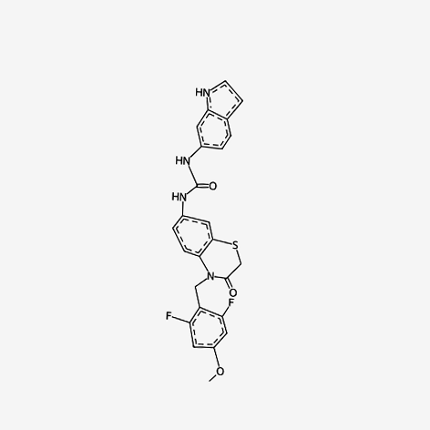 COc1cc(F)c(CN2C(=O)CSc3cc(NC(=O)Nc4ccc5cc[nH]c5c4)ccc32)c(F)c1